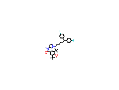 COc1c(C(C)(C)C)cc(C(=O)N(C)C2CCN(CCCCCC(c3ccc(F)cc3)c3ccc(F)cc3)C2)cc1C(C)(C)C